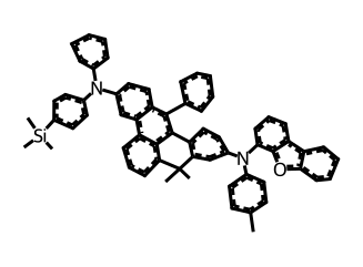 Cc1ccc(N(c2ccc3c(c2)C(C)(C)c2cccc4c2c-3c(-c2ccccc2)c2ccc(N(c3ccccc3)c3ccc([Si](C)(C)C)cc3)cc24)c2cccc3c2oc2ccccc23)cc1